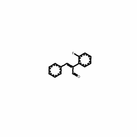 O=[C]C(=Cc1ccccc1)c1ccccc1F